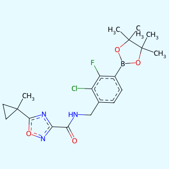 CC1(c2nc(C(=O)NCc3ccc(B4OC(C)(C)C(C)(C)O4)c(F)c3Cl)no2)CC1